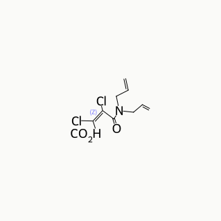 C=CCN(CC=C)C(=O)/C(Cl)=C(/Cl)C(=O)O